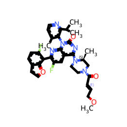 COC/C=C/C(=O)N1CCN(c2nc(=O)n(-c3c(C)ccnc3C(C)C)c3nc(-c4c(F)ccc5ccoc45)c(F)cc23)[C@@H](C)C1